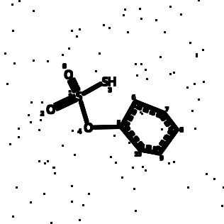 O=S(=O)(S)Oc1ccccc1